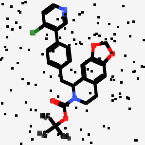 CC(C)(C)OC(=O)N1CCc2cc3c(cc2C1Cc1ccc(-c2cnccc2Cl)cc1)OCO3